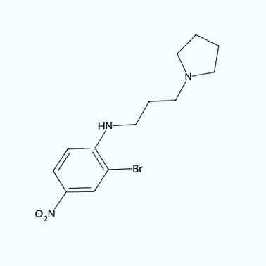 O=[N+]([O-])c1ccc(NCCCN2CCCC2)c(Br)c1